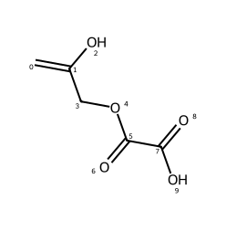 C=C(O)COC(=O)C(=O)O